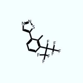 Cc1c(C(F)(C(F)(F)F)C(F)(F)F)[c]ccc1-c1cnns1